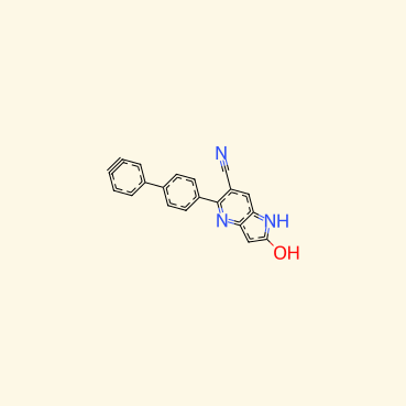 N#Cc1cc2[nH]c(O)cc2nc1-c1ccc(-c2cc#ccc2)cc1